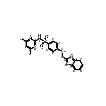 Cc1cc(C)nc(NS(=O)(=O)c2ccc(NCC3=NC4=CC=CCC4=N3)cc2)n1